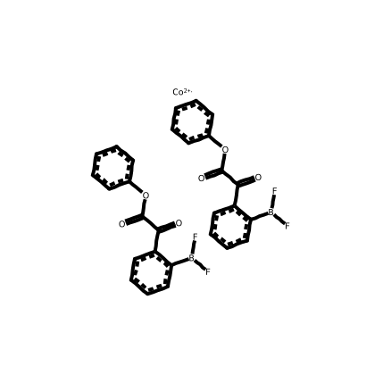 O=C(Oc1ccccc1)C(=O)c1ccccc1B(F)F.O=C(Oc1ccccc1)C(=O)c1ccccc1B(F)F.[Co+2]